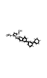 O=NC[C@H]1C[C@H](CO)N1Cc1cc2cc(-c3cccc(C4=CCCCC4)c3)ccc2[nH]1